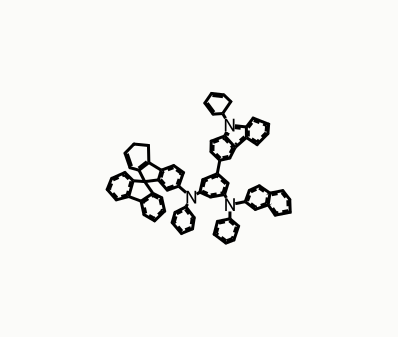 C1=CCC(n2c3ccccc3c3cc(-c4cc(N(c5ccccc5)c5ccc6c(c5)C5(C7=C6CCC=C7)c6ccccc6-c6ccccc65)cc(N(c5ccccc5)c5ccc6ccccc6c5)c4)ccc32)C=C1